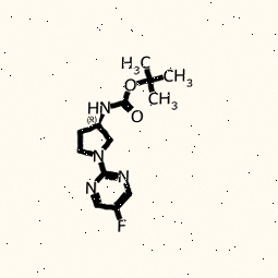 CC(C)(C)OC(=O)N[C@@H]1CCN(c2ncc(F)cn2)C1